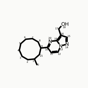 CC1CCCCCCCC(c2ccn3ncc(CO)c3n2)C1